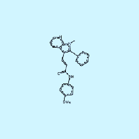 COc1ccc(NC(=O)C=Cc2c(-c3ccccc3)n(C)c3ncccc23)cc1